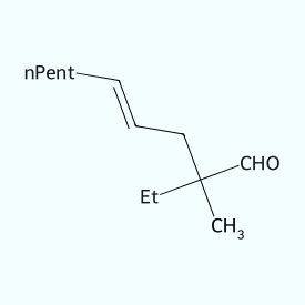 CCCCCC=CCC(C)(C=O)CC